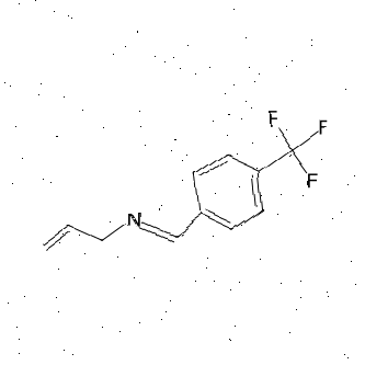 C=CC/N=C/c1ccc(C(F)(F)F)cc1